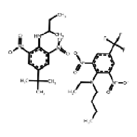 CCC(C)Nc1c([N+](=O)[O-])cc(C(C)(C)C)cc1[N+](=O)[O-].CCCCN(CC)c1c([N+](=O)[O-])cc(C(F)(F)F)cc1[N+](=O)[O-]